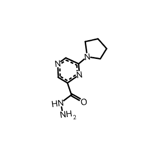 NNC(=O)c1cncc(N2CCCC2)n1